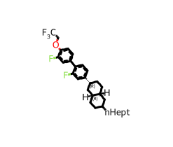 CCCCCCCC1CC[C@@H]2C[C@H](c3ccc(-c4ccc(OCC(F)(F)F)c(F)c4)c(F)c3)CC[C@@H]2C1